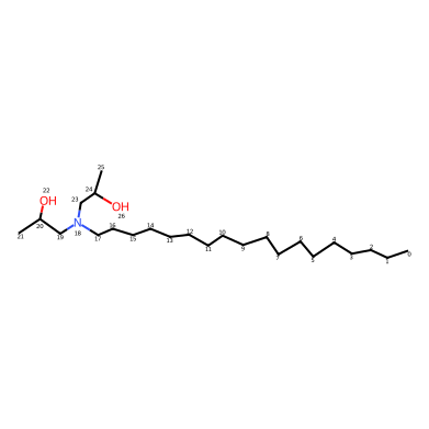 CCCCCCCCCCCCCCCCCCN(CC(C)O)CC(C)O